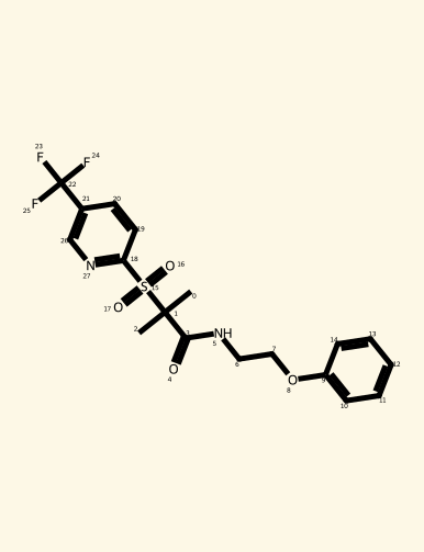 CC(C)(C(=O)NCCOc1ccccc1)S(=O)(=O)c1ccc(C(F)(F)F)cn1